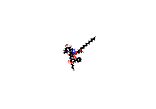 CCCCCCCCCCCCCCCCOC(=O)C(CC(CC(C)c1ccccc1)C(=O)OCCCC)CC(C)(ON1C(C)(CC)CC(=O)C(C)C1(C)CC)C(=O)NCCCN(C)C